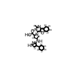 Cc1nc(N2CC(Nc3n[nH]cc3-c3ccccc3)CC2C(=O)O)c2oc3ccccc3c2n1